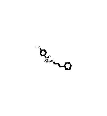 Cc1ccc(S(=O)(=O)N/N=C/C=C/c2ccccc2)cc1